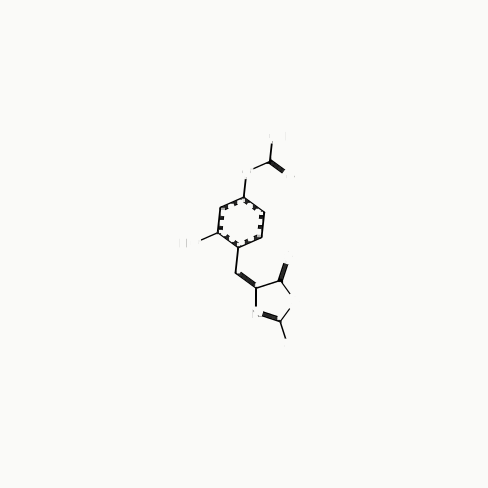 CC(=O)Oc1ccc(C=C2N=C(C)OC2=O)c(O)c1